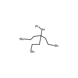 CC(C)NC(CCC(C)(C)C)(CCC(C)(C)C)CCC(C)(C)C